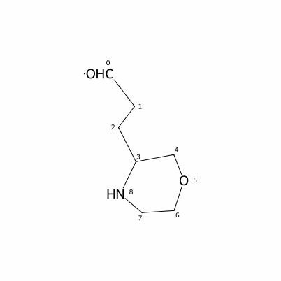 O=[C]CCC1COCCN1